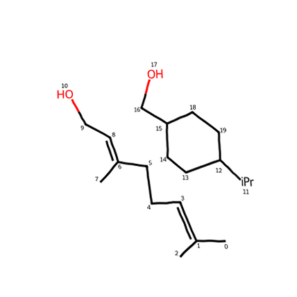 CC(C)=CCC/C(C)=C/CO.CC(C)C1CCC(CO)CC1